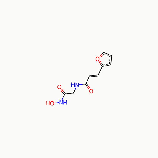 O=C(/C=C/c1ccco1)NCC(=O)NO